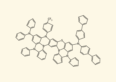 FC(F)(F)c1ccc(N2c3cc4c(cc3B3c5ccccc5N(c5ccccc5)c5cc(N(c6ccccc6)c6ccccc6)cc2c53)B2c3ccccc3N(c3ccccc3)c3cc(N(c5ccc(-c6ccccc6)cc5)c5ccc(-c6ccccc6)cc5)cc(c32)S4)cc1